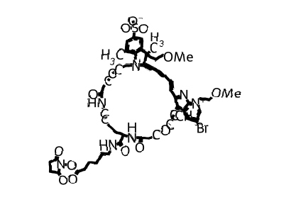 COCC[n+]1cc(Br)cc2c1N=C1/C=C/C=C/C=C3/N(CCOCCC(=O)NCCCCC(C(=O)NCCCCCC(=O)ON4C(=O)CCC4=O)NC(=O)CCOCCC12C)c1c(C)cc(S(=O)(=O)[O-])cc1C3(C)CCOC